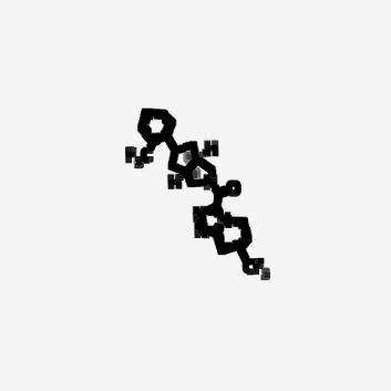 O=C(c1nnc2cc(C(F)(F)F)ccn12)N1C[C@H]2CC(c3ccccc3C(F)(F)F)C[C@H]2C1